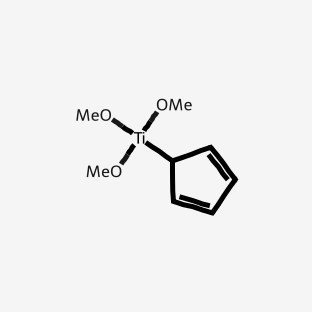 C[O][Ti]([O]C)([O]C)[CH]1C=CC=C1